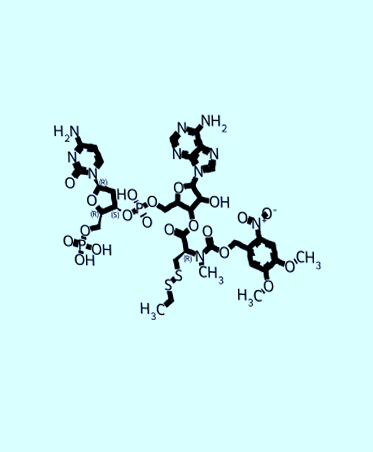 CCSSC[C@@H](C(=O)OC1C(COP(=O)(O)O[C@H]2C[C@H](n3ccc(N)nc3=O)O[C@@H]2COP(=O)(O)O)OC(n2cnc3c(N)ncnc32)C1O)N(C)C(=O)OCc1cc(OC)c(OC)cc1[N+](=O)[O-]